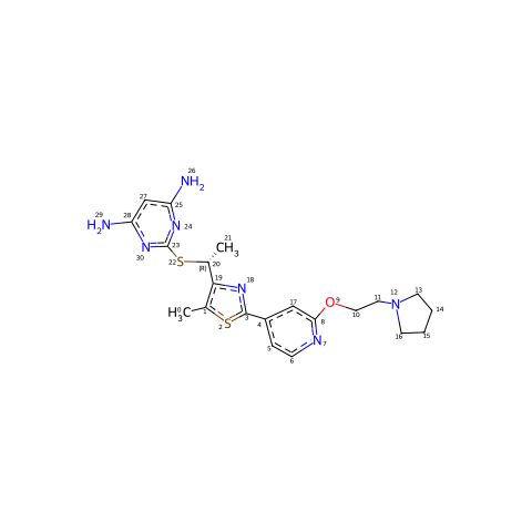 Cc1sc(-c2ccnc(OCCN3CCCC3)c2)nc1[C@@H](C)Sc1nc(N)cc(N)n1